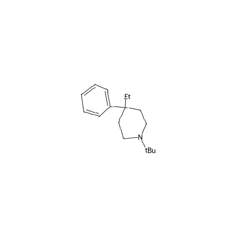 CCC1(c2ccccc2)CCN(C(C)(C)C)CC1